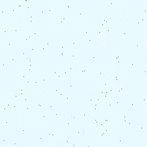 CN1CCC2=CC(c3ccccc3C#N)C3C(=O)OC(=O)C3C2C1